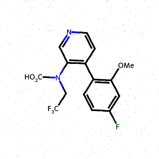 COc1cc(F)ccc1-c1ccncc1N(CC(F)(F)F)C(=O)O